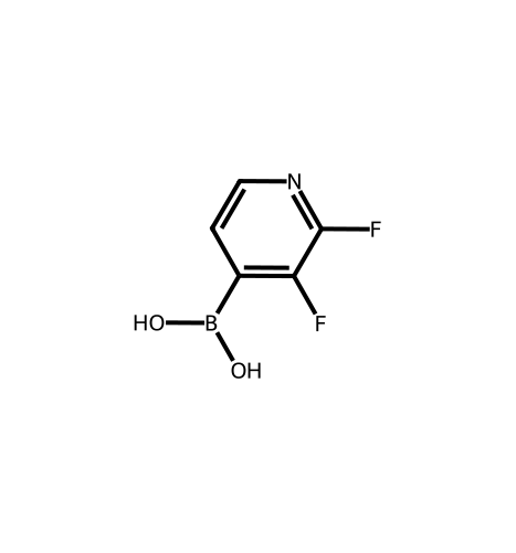 OB(O)c1ccnc(F)c1F